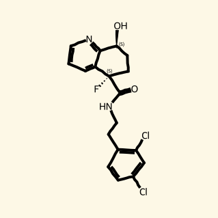 O=C(NCCc1ccc(Cl)cc1Cl)[C@]1(F)CC[C@H](O)c2ncccc21